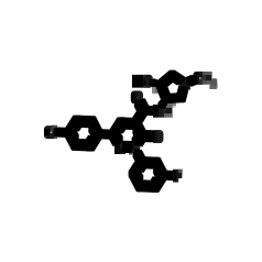 CN1C[C@H](O)[C@H](NC(=O)c2cc(-c3ccc(Cl)cc3)nn(-c3cccc(F)c3)c2=O)C1